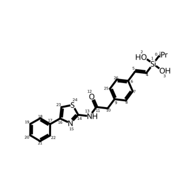 CC(C)[Si](O)(O)C=Cc1ccc(CC(=O)Nc2nc(-c3ccccc3)cs2)cc1